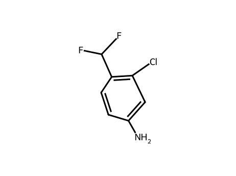 Nc1ccc(C(F)F)c(Cl)c1